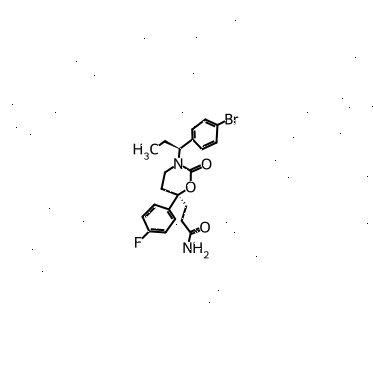 CC[C@@H](c1ccc(Br)cc1)N1CC[C@](CCC(N)=O)(c2ccc(F)cc2)OC1=O